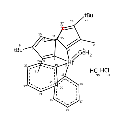 CC1=[C]([Hf](=[GeH2])([C]2=C(C)C(C(C)(C)C)=CC2C)([c]2ccccc2)[c]2ccccc2)C(C)C=C1C(C)(C)C.Cl.Cl